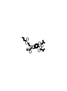 CCCC(=O)OCCN[C@@H](Cc1ccc(OC(=O)C(C)C)c(OC(=O)C(C)C)c1)C(=O)OC